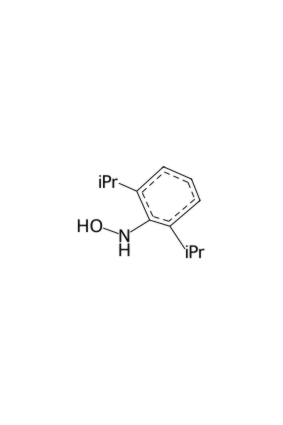 CC(C)c1cccc(C(C)C)c1NO